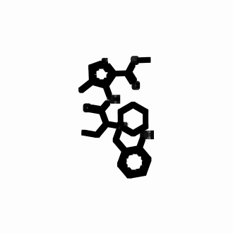 CCC(C(=O)Nc1c(C)csc1C(=O)OC)[N+]1(Cc2ccccc2O)CCCCC1